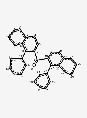 O=C(c1ccc2ccccc2c1-c1ccccc1)c1ccc2ccccc2c1-c1ccccc1